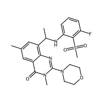 Cc1cc(C(C)Nc2cccc(F)c2S(C)(=O)=O)c2nc(N3CCOCC3)n(C)c(=O)c2c1